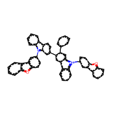 c1ccc(-c2cc3c(cc2-c2ccc4c5ccccc5n(-c5ccc6oc7ccccc7c6c5)c4c2)c2ccccc2n3-c2ccc3oc4ccccc4c3c2)cc1